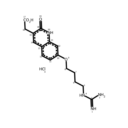 Cl.N=C(N)NCCCCOc1ccc2cc(CC(=O)O)c(=O)[nH]c2c1